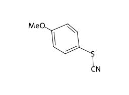 COc1ccc(SC#N)cc1